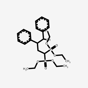 CCOP(=O)(OCC)C(CC(c1ccccc1)C(O)c1ccccc1)P(=O)(OCC)OCC